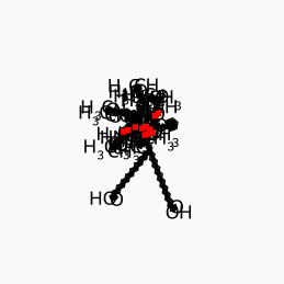 CC(=O)NC(CSCC(CCCCCCCCCCCCCCCCC(=O)O)CCCCCCCCCCCCCCCC(=O)O)C(=C=O)NC(COC(C)(C)C)C(=C=O)NC(CCCCNC(=O)OC(C)(C)C)C(=C=O)NC(CCCCNC(=O)OC(C)(C)C)C(=C=O)NC(CCCCNC(=O)OC(C)(C)C)C(=C=O)NC(CCCCNC(=O)OC(C)(C)C)(CCCCNC(=C=O)OC(C)(C)C)C(=O)OCc1ccccc1